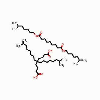 CC(C)CCCCCCC(CCCCCCC(C)C)(CCCC(=O)O)CCCC(=O)O.CC(C)CCCCCOC(=O)CCCCCCCC(=O)OCCCCCC(C)C